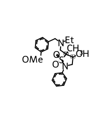 CCN(Cc1cccc(OC)c1)C[C@]1(C)[C@@H](O)CN(c2ccccc2)S1(=O)=O